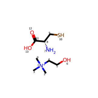 C[N+](C)(C)CCO.N[C@@H](CS)C(=O)O